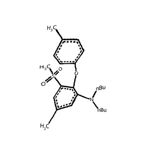 CCCCN(CCCC)c1cc(C)cc(S(C)(=O)=O)c1Oc1ccc(C)cc1